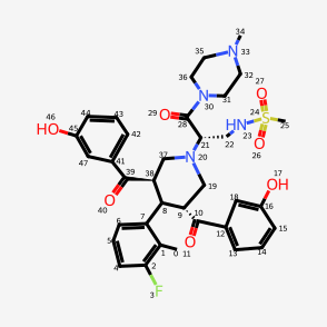 Cc1c(F)cccc1C1[C@@H](C(=O)c2cccc(O)c2)CN([C@@H](CNS(C)(=O)=O)C(=O)N2CCN(C)CC2)C[C@@H]1C(=O)c1cccc(O)c1